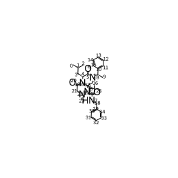 CC(C)C[C@H]1C(=O)N([C@H](C)c2ccccc2)C[C@H]2N1C(=O)CN(C)N2C(=O)NCc1ccccc1